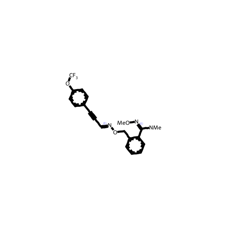 CN/C(=N/OC)c1ccccc1CO/N=C/C#Cc1ccc(OC(F)(F)F)cc1